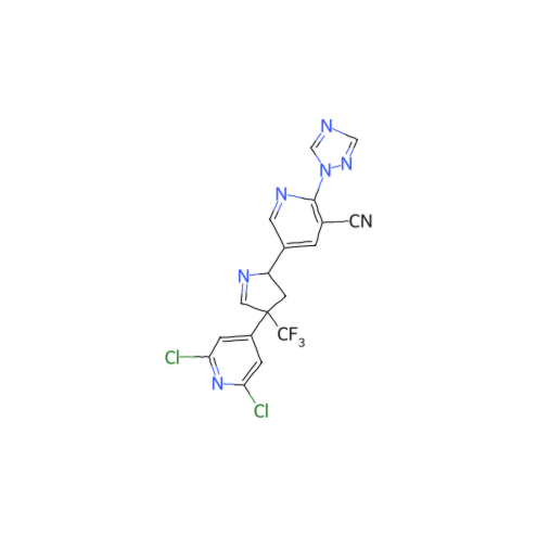 N#Cc1cc(C2CC(c3cc(Cl)nc(Cl)c3)(C(F)(F)F)C=N2)cnc1-n1cncn1